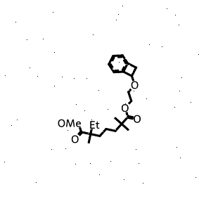 CCC(C)(CCCC(C)(C)C(=O)OCCOC1Cc2ccccc21)C(=O)OC